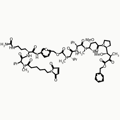 CC[C@H](C)C([C@@H](CC(=O)N1CCC[C@H]1[C@H](OC)[C@@H](C)C(=O)C(=O)OCc1ccccc1)OC)N(C)C(=O)[C@@H](NC(=O)[C@H](C(C)C)N(C)C(=O)OCc1ccc(NC(=O)[C@H](CCCNC(N)=O)NC(=O)C(C(C)C)N(C)C(=O)CCCCCN2C(=O)C=CC2=O)cc1)C(C)C